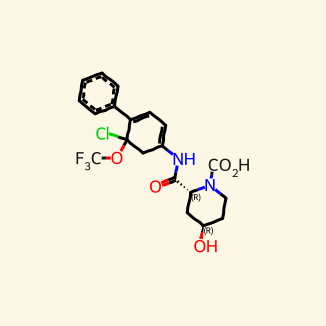 O=C(NC1=CC=C(c2ccccc2)C(Cl)(OC(F)(F)F)C1)[C@H]1C[C@H](O)CCN1C(=O)O